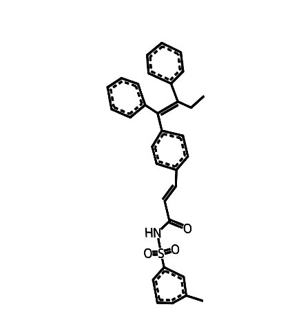 CCC(=C(c1ccccc1)c1ccc(C=CC(=O)NS(=O)(=O)c2cccc(C)c2)cc1)c1ccccc1